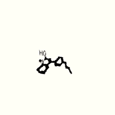 CCCCc1ccc(C2=CC(O)N(C)c3ccccc32)cc1